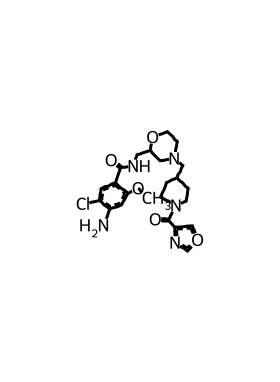 COc1cc(N)c(Cl)cc1C(=O)NCC1CN(CC2CCN(C(=O)c3cocn3)CC2)CCO1